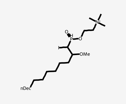 CCCCCCCCCCCCCCCCC(OC)C(I)[PH](=O)OCC[N+](C)(C)C